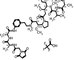 CC[C@H](C)[C@@H]([C@@H](CC(=O)N1CCC[C@H]1[C@H](OC)[C@@H](C)C(=O)N(C)CCc1cccc(NC(=O)[C@H](C)NC(=O)[C@H](C)NC(=O)CN2C(=O)C=CC2=O)c1)OC)N(C)C(=O)[C@@H](NC(=O)[C@@H](C)N(C)C)C(C)C.O=C(O)C(F)(F)F